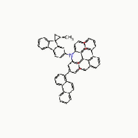 C[C@@H]1CC12c1ccccc1-c1ccc(N(c3cccc(-c4cccc5c4ccc4ccccc45)c3)c3ccccc3-c3cccc4cccc(-c5ccccc5)c34)cc12